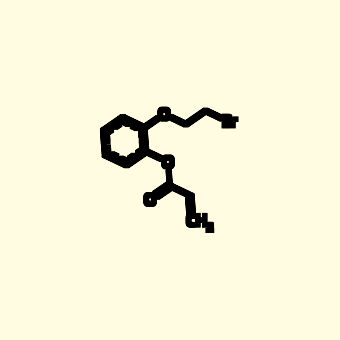 C=CC(=O)Oc1ccccc1OCCBr